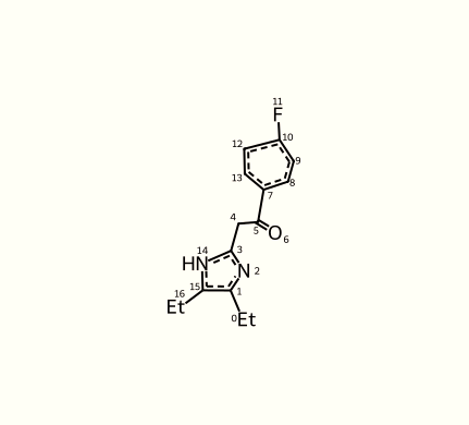 CCc1nc(CC(=O)c2ccc(F)cc2)[nH]c1CC